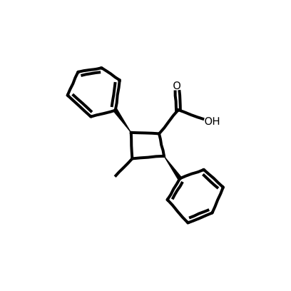 CC1[C@@H](c2ccccc2)C(C(=O)O)[C@H]1c1ccccc1